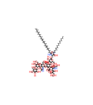 CCCCCCCCCCCCC/C=C/[C@@H](O)[C@H](CO[C@@H]1OC(CO)[C@@H](O[C@@H]2OC(CO)[C@H](O[C@@H]3OC(CO)[C@H](O)[C@H](O[C@@H]4OC(CO)[C@H](O)[C@H](O)C4O[C@H]4OC(C)[C@@H](O)C(O)[C@@H]4O)C3NC(C)=O)[C@H](O[C@]3(C(=O)O)CC(O)[C@@H](NC(=O)CO)C([C@H](O)[C@H](O)CO)O3)C2O)[C@H](O)C1O)NC(=O)CCCCCCCCCCCCCCCCCCCCC